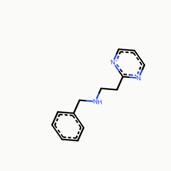 c1ccc(CNCCc2ncccn2)cc1